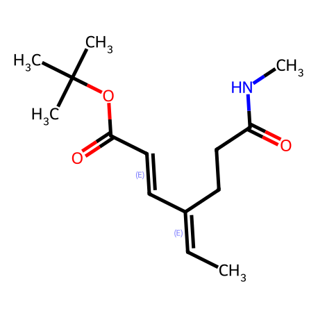 C/C=C(/C=C/C(=O)OC(C)(C)C)CCC(=O)NC